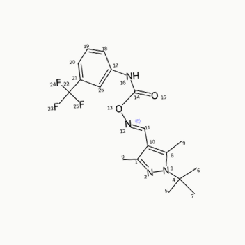 Cc1nn(C(C)(C)C)c(C)c1/C=N/OC(=O)Nc1cccc(C(F)(F)F)c1